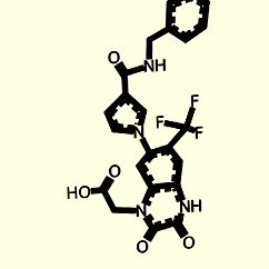 O=C(O)Cn1c(=O)c(=O)[nH]c2cc(C(F)(F)F)c(-n3ccc(C(=O)NCc4ccccc4)c3)cc21